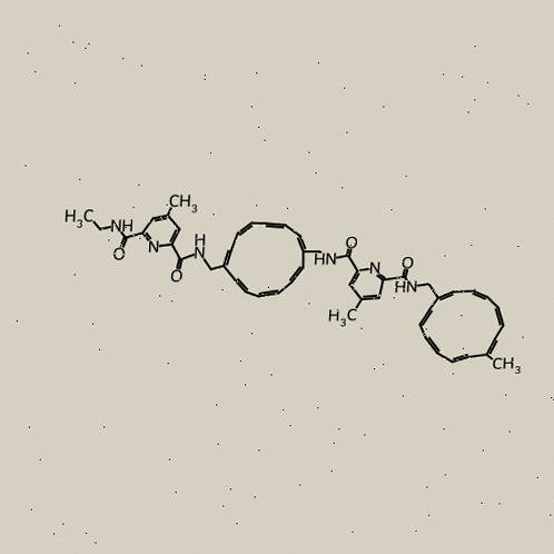 CCNC(=O)c1cc(C)cc(C(=O)NCc2ccccccc(CNC(=O)c3cc(C)cc(C(=O)NCc4ccccccc(C)cccccc4)n3)cccccc2)n1